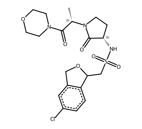 C[C@@H](C(=O)N1CCOCC1)N1CC[C@H](NS(=O)(=O)CC2OCc3cc(Cl)ccc32)C1=O